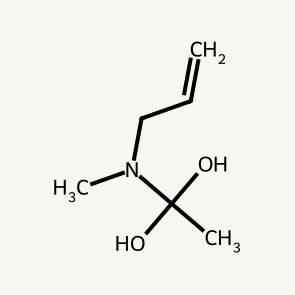 C=CCN(C)C(C)(O)O